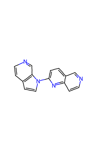 c1cc2nc(-n3ccc4ccncc43)ccc2cn1